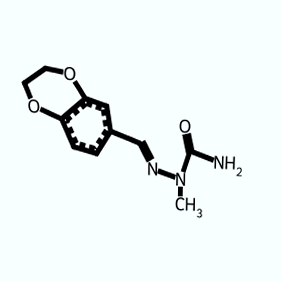 CN(N=Cc1ccc2c(c1)OCCO2)C(N)=O